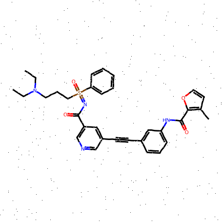 CCN(CC)CCCS(=O)(=NC(=O)c1cncc(C#Cc2cccc(NC(=O)c3occc3C)c2)c1)c1ccccc1